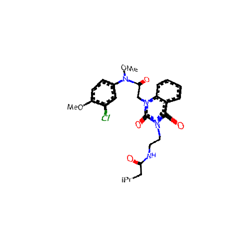 COc1ccc(N(OC)C(=O)Cn2c(=O)n(CCNC(=O)CC(C)C)c(=O)c3ccccc32)cc1Cl